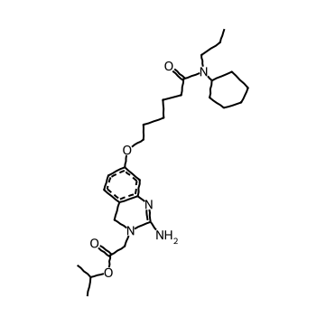 CCCN(C(=O)CCCCCOc1ccc2c(c1)N=C(N)N(CC(=O)OC(C)C)C2)C1CCCCC1